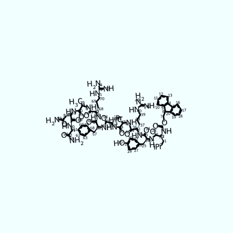 CC(C)C[C@H](NC(=O)OCC1c2ccccc2-c2ccccc21)C(=O)N[C@@H](Cc1ccc(O)cc1)C(=O)N[C@@H](CCCNC(=N)N)C(=O)N[C@@H](C)C(=O)N[C@H](C(=O)N[C@@H](Cc1ccccc1)C(=O)N[C@@H](CCCNC(=N)N)C(=O)N[C@@H](C)C(=O)N[C@@H](CC(N)=O)C(=O)NCC(N)=O)C(C)C